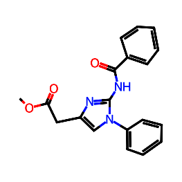 COC(=O)Cc1cn(-c2ccccc2)c(NC(=O)c2ccccc2)n1